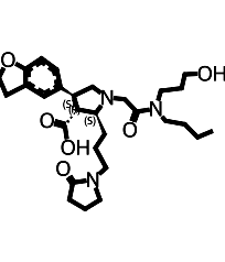 CCCCN(CCCO)C(=O)CN1C[C@H](c2ccc3c(c2)CCO3)[C@@H](C(=O)O)[C@@H]1CCCN1CCCC1=O